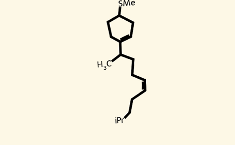 CSC1CC=C(C(C)CC/C=C\CCC(C)C)CC1